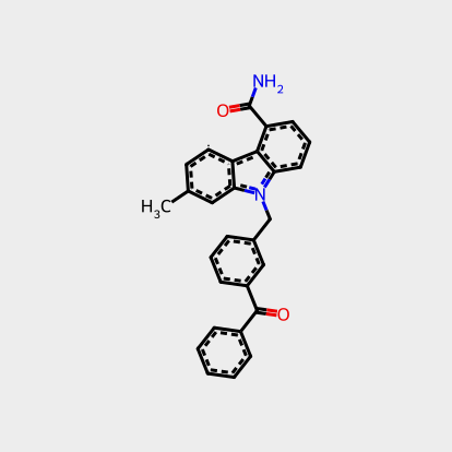 Cc1c[c]c2c3c(C(N)=O)cccc3n(Cc3cccc(C(=O)c4ccccc4)c3)c2c1